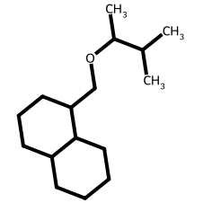 CC(C)C(C)OCC1CCCC2CCCCC21